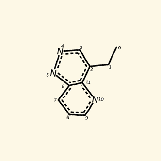 CCc1cnnc2cccnc12